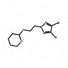 Brc1nn(CCOC2CCCCO2)nc1Br